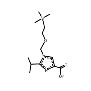 CC(C)c1nc(C(=O)O)cn1COCC[Si](C)(C)C